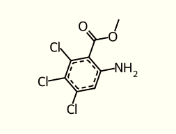 COC(=O)c1c(N)cc(Cl)c(Cl)c1Cl